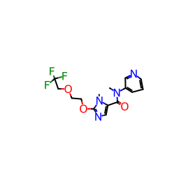 CN(C(=O)c1cnc(OCCOCC(F)(F)F)n1C)c1cccnc1